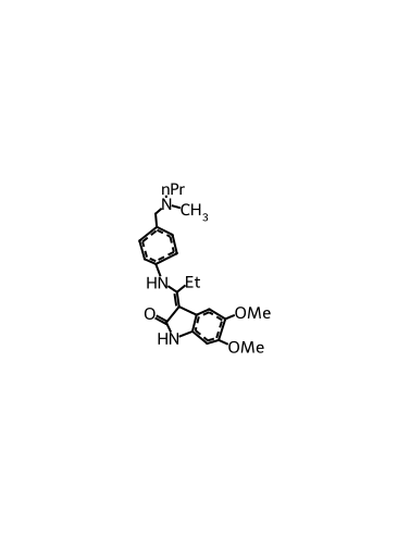 CCCN(C)Cc1ccc(N/C(CC)=C2\C(=O)Nc3cc(OC)c(OC)cc32)cc1